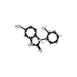 Nc1ccc2c(c1)[nH]c(=O)n2-c1ccccc1Cl